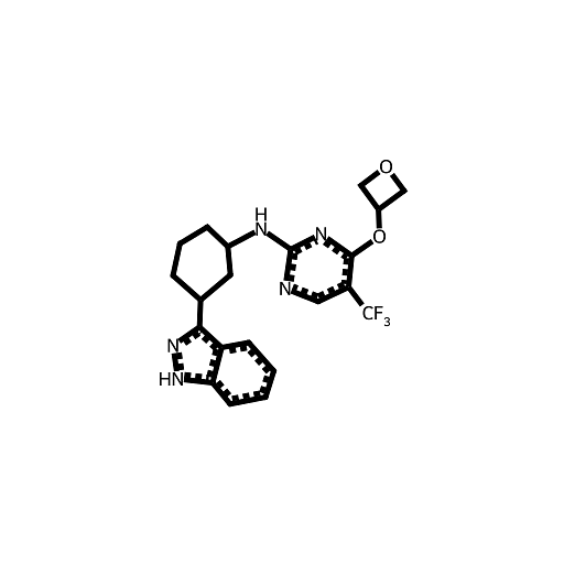 FC(F)(F)c1cnc(NC2CCCC(c3n[nH]c4ccccc34)C2)nc1OC1COC1